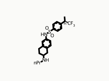 CCCNC1CCc2cc(NS(=O)(=O)c3ccc([C@@H](C)C(F)(F)F)cc3)ccc2C1